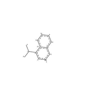 CC(C)c1cncc2ccccc12